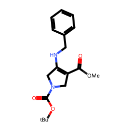 COC(=O)C1=C(NCc2ccccc2)CN(C(=O)OC(C)(C)C)C1